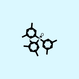 Cc1cc(C)cc(P(=O)(c2cc(C)cc(C)c2)c2cc(C)cc(C)c2I)c1